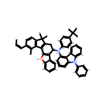 C/C=C\c1ccc2c(c1C)C1=C(CC(N(C3=c4c(n(-c5ccccc5)c5ccccc45)=C=C=C3)c3ccc(C(C)(C)C)cc3)c3c1oc1ccccc31)C2(C)C